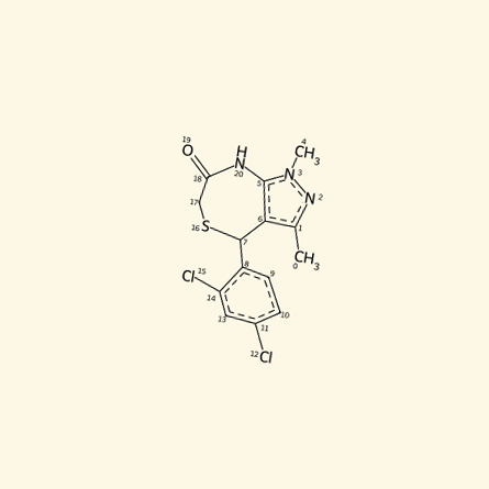 Cc1nn(C)c2c1C(c1ccc(Cl)cc1Cl)SCC(=O)N2